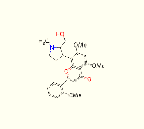 COc1ccccc1-c1cc(=O)c2c(OC)cc(OC)c(C3CCN(C)C3CO)c2o1